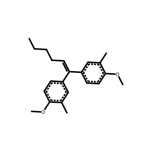 CCCCC=C(c1ccc(OC)c(C)c1)c1ccc(OC)c(C)c1